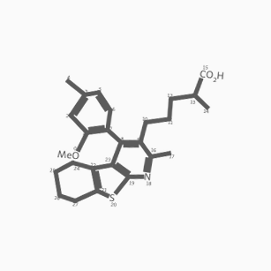 COc1cc(C)ccc1-c1c(CCCC(C)C(=O)O)c(C)nc2sc3c(c12)CCCC3